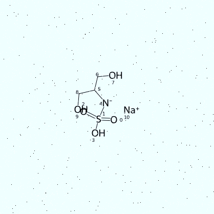 O=S(=O)(O)[N-]C(CO)CO.[Na+]